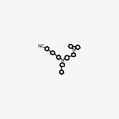 N#Cc1ccc(-c2ccc(-c3ccc(N(c4ccc(-c5ccccc5)cc4)c4ccc(-c5cccc(-n6c7ccccc7c7ccccc76)c5)cc4)cc3)cc2)cc1